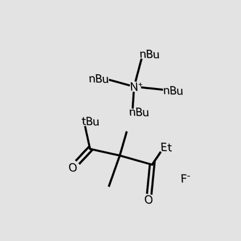 CCC(=O)C(C)(C)C(=O)C(C)(C)C.CCCC[N+](CCCC)(CCCC)CCCC.[F-]